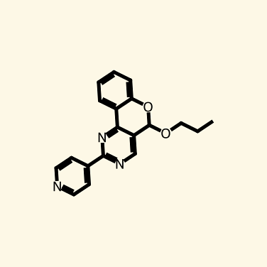 CCCOC1Oc2ccccc2-c2nc(-c3ccncc3)ncc21